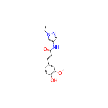 CCn1cc(NC(=O)/C=C/c2ccc(O)c(OC)c2)cn1